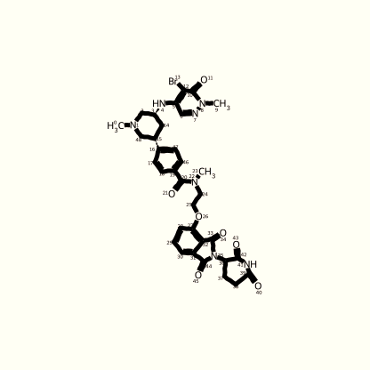 CN1C[C@H](Nc2cnn(C)c(=O)c2Br)C[C@H](c2ccc(C(=O)N(C)CCOc3cccc4c3C(=O)N(C3CCC(=O)NC3=O)C4=O)cc2)C1